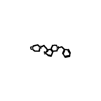 c1ccc(CN2CCc3c(ccnc3CN3CCOCC3)C2)cc1